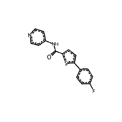 O=C(Nc1ccncc1)c1ccc(-c2ccc(F)cc2)s1